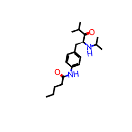 CCCCC(=O)Nc1ccc(C[C@H](NC(C)C)C(=O)C(C)C)cc1